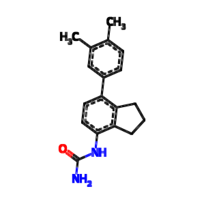 Cc1ccc(-c2ccc(NC(N)=O)c3c2CCC3)cc1C